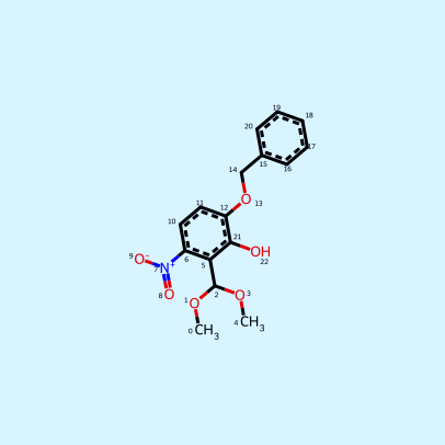 COC(OC)c1c([N+](=O)[O-])ccc(OCc2ccccc2)c1O